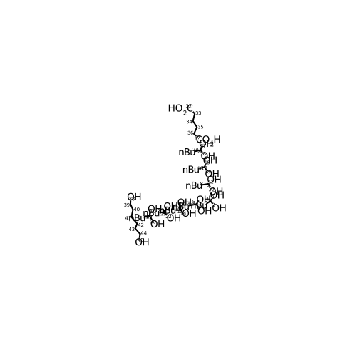 CCCCC(O)O.CCCCC(O)O.CCCCC(O)O.CCCCC(O)O.CCCCC(O)O.CCCCC(O)O.CCCCC(O)O.CCCCC(O)O.O=C(O)CCCCC(=O)O.OCCCCCCO